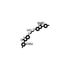 COc1cc(C)ccc1-c1cc2ccc(OCC(O)COc3ccc4cc(-c5ccc(C)cc5OC)c(=O)sc4c3)cc2sc1=O